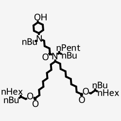 CCCCCCC(CCCC)COC(=O)CCCCCCCCC(CCCCCCCCC(=O)OCC(CCCC)CCCCCC)N(C(=O)CCCN(CCCC)C1CCC(O)CC1)C(CCCC)CCCCC